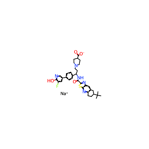 CC(C)(C)C1CCc2nc3sc(C(=O)NC(CCN4CCC(C(=O)[O-])CC4)c4ccc(-c5cnc(O)c(F)c5)cc4)nc3cc2C1.[Na+]